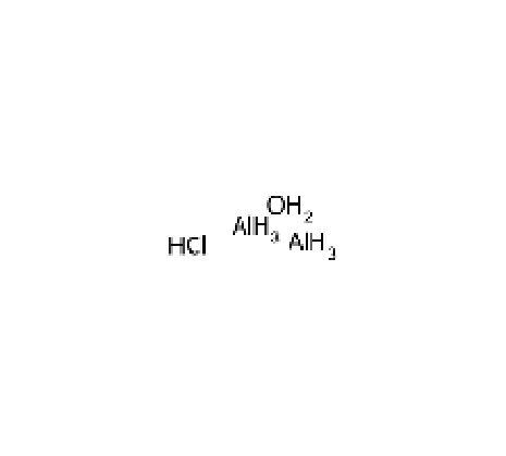 Cl.O.[AlH3].[AlH3]